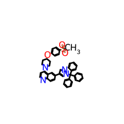 CS(=O)(=O)c1ccc(OC2CCN(c3ccnc4ccc(-c5cnn(C(c6ccccc6)(c6ccccc6)c6ccccc6)c5)cc34)CC2)cc1